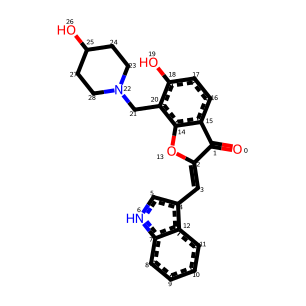 O=C1C(=Cc2c[nH]c3ccccc23)Oc2c1ccc(O)c2CN1CCC(O)CC1